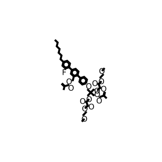 C=C(C)C(=O)OCc1cc(-c2ccc(CCCCCCC)cc2F)ccc1-c1ccc(OCC(COC(=O)C(=C)C)(COC(=O)C(=O)OCCOC)COC(=O)C(=O)OCCOC)cc1